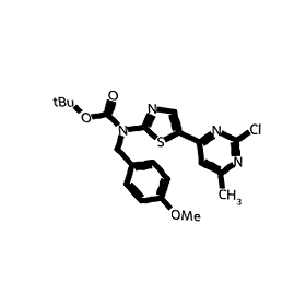 COc1ccc(CN(C(=O)OC(C)(C)C)c2ncc(-c3cc(C)nc(Cl)n3)s2)cc1